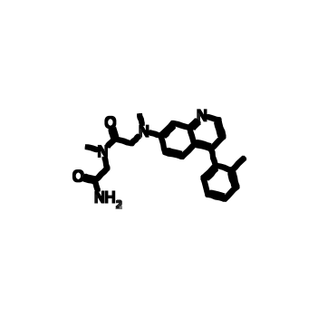 Cc1ccccc1-c1ccnc2cc(N(C)CC(=O)N(C)CC(N)=O)ccc12